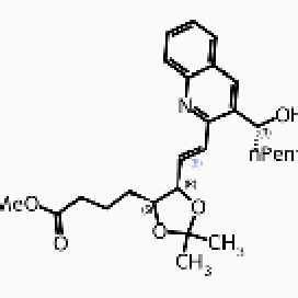 CCCCC[C@@H](O)c1cc2ccccc2nc1/C=C/[C@H]1OC(C)(C)O[C@H]1CCCC(=O)OC